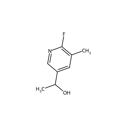 Cc1cc(C(C)O)cnc1F